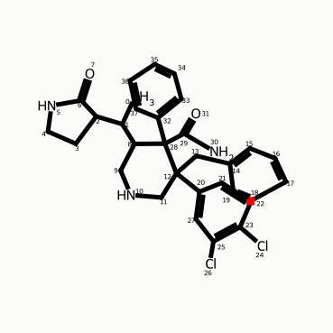 CC(C1CCNC1=O)C1CNCC(Cc2ccccc2)(c2ccc(Cl)c(Cl)c2)C1(C(N)=O)c1ccccc1